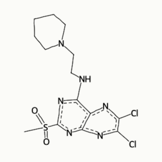 CS(=O)(=O)c1nc(NCCN2CCCCC2)c2nc(Cl)c(Cl)nc2n1